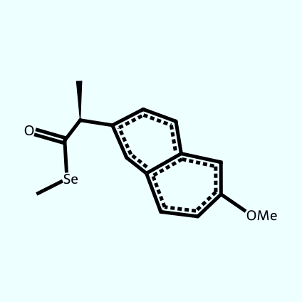 COc1ccc2cc([C@H](C)C(=O)[Se]C)ccc2c1